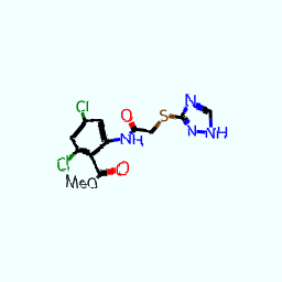 COC(=O)c1c(Cl)cc(Cl)cc1NC(=O)CSc1nc[nH]n1